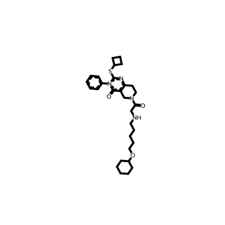 O=C(CNCCCCCOC1CCCCC1)N1CCc2nc(SC3CCC3)n(-c3ccccc3)c(=O)c2C1